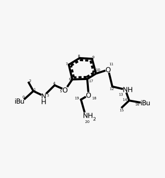 CCC(C)C(C)NCOc1cccc(OCNC(C)C(C)CC)c1OCN